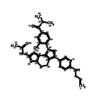 C=CCNc1ccc(-c2nn(-c3ccc(C(=O)N(C)C)cc3Cl)c3c2CCc2nc(NC(C)=O)sc2-3)cn1